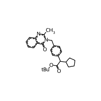 Cc1nc2ccccc2c(=O)n1Cc1ccc(C(C(=O)OC(C)(C)C)C2CCCC2)cc1